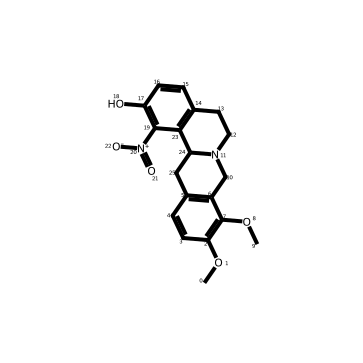 COc1ccc2c(c1OC)CN1CCc3ccc(O)c([N+](=O)[O-])c3C1C2